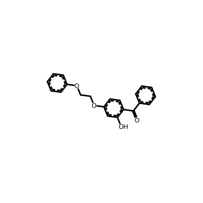 O=C(c1ccccc1)c1ccc(OCCOc2ccccc2)cc1O